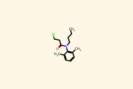 CCCCN(C(=O)CCCl)c1c(C)cccc1C